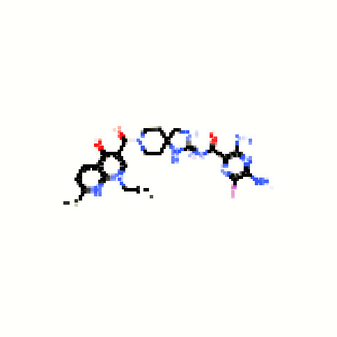 CCn1cc(C(=O)N2CCC3(CC2)CN/C(=N\C(=O)c2nc(I)c(N)nc2N)N3)c(=O)c2ccc(C)nc21